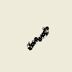 Cc1c(-c2nc3cc(COC(=O)[C@@H]4CCCN4)c(OC(F)F)cc3o2)cccc1-c1cccc(-c2nc3cc(CN4CCC(C)C4)c(OC(F)F)cc3o2)c1C